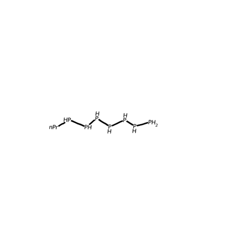 CCCPPPPPPP